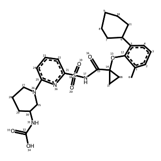 Cc1cccc(C2CCCCC2)c1OC1(C(=O)NS(=O)(=O)c2cccc(N3CCCC(NC(=O)O)C3)n2)CC1